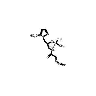 CC(C)(C)[Si](C)(C)OC(CNC(=O)CN=[N+]=[N-])Cn1nccc1C(=O)O